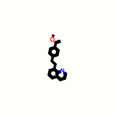 C=C(OC)c1ccc(CCc2cccc3cccnc23)cc1